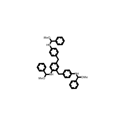 COC(Nc1ccc(Cc2ccc(NC(OC)c3ccccc3)c(Cc3ccc(NC(OC)c4ccccc4)cc3)c2)cc1)c1ccccc1